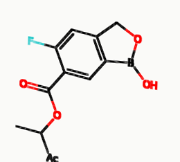 CC(=O)C(C)OC(=O)c1cc2c(cc1F)COB2O